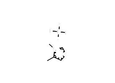 Cc1csc[n+]1C.F[B-](F)(F)F